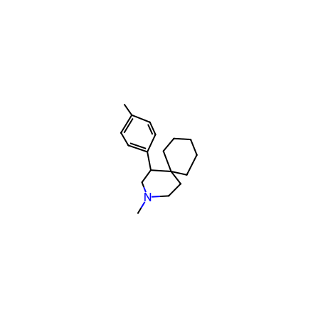 Cc1ccc(C2CN(C)CCC23CCCCC3)cc1